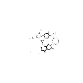 CC(=O)NC[C@H]1CN(c2ccc(N(C)C3CCCCN(c4cc5c(cc4F)c(=O)c(C(=O)O)cn5C4CC4)C3)c(F)c2)C(=O)O1